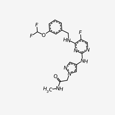 CNC(=O)Cn1cc(Nc2ncc(F)c(NCc3cccc(OC(F)F)c3)n2)cn1